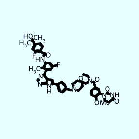 COc1ccc(C(=O)N2CCOC3(CCN(Cc4ccc(-c5cc6c(-c7cc(F)cc(NC(=O)c8ccc(C(C)(C)O)cc8F)c7C)ncnc6[nH]5)cc4)CC3)C2)cc1N1CCC(=O)NC1=O